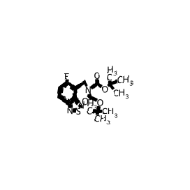 CC(C)(C)OC(=O)N(Cc1c(F)ccc2nsnc12)C(=O)OC(C)(C)C